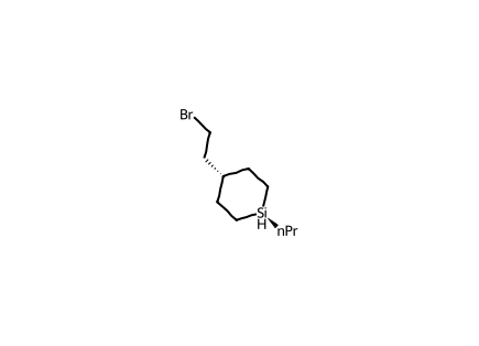 CCC[Si@H]1CC[C@H](CCBr)CC1